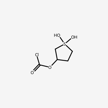 O=C(Cl)OC1CCS(O)(O)C1